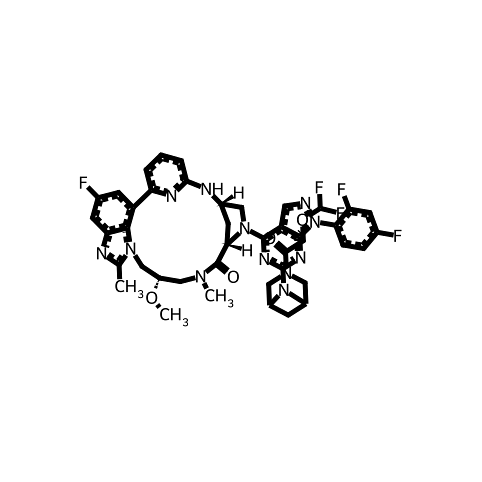 CO[C@H]1CN(C)C(=O)[C@@H]2C[C@@H](CN2c2nc(N3C4CC3CN(C(=O)COC(F)F)C4)nc3c2cnn3-c2ccc(F)cc2F)Nc2cccc(n2)-c2cc(F)cc3nc(C)n(c23)C1